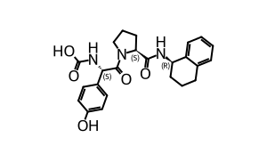 O=C(O)N[C@H](C(=O)N1CCC[C@H]1C(=O)N[C@@H]1CCCc2ccccc21)c1ccc(O)cc1